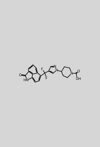 O=C1Nc2ccc(C(F)(F)c3cnn(C4CCN(C(=O)O)CC4)c3)c3cccc1c23